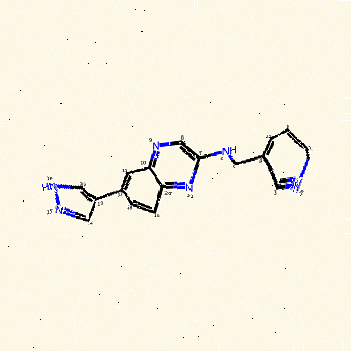 c1cncc(CNc2cnc3cc(-c4cn[nH]c4)ccc3n2)c1